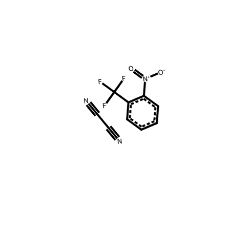 N#CC#N.O=[N+]([O-])c1ccccc1C(F)(F)F